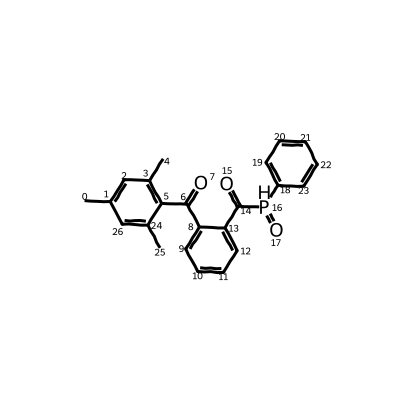 Cc1cc(C)c(C(=O)c2ccccc2C(=O)[PH](=O)c2ccccc2)c(C)c1